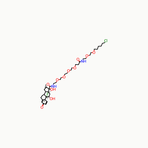 C[C@@H]1CC2C3CCC4=CC(=O)C=C[C@]4(C)[C@@]3(F)[C@@H](O)C[C@]2(C)[C@@]1(O)C(=O)NCCOCCOCCOCCOCCC(=O)NCCOCCOCCCCCCCl